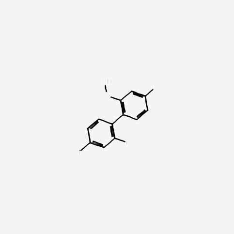 COc1cc(Cl)ccc1-c1ccc(Cl)cc1Cl